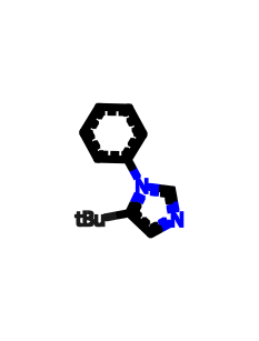 CC(C)(C)c1cncn1-c1ccccc1